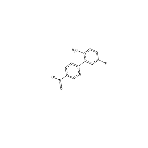 Cc1ccc(F)cc1-c1ccc([N+](=O)[O-])cn1